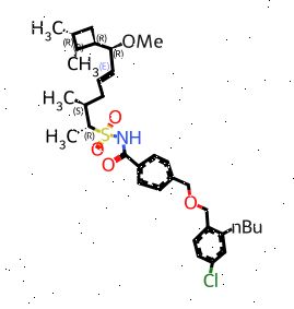 CCCCc1cc(Cl)ccc1COCc1ccc(C(=O)NS(=O)(=O)[C@H](C)[C@@H](C)C/C=C/[C@H](OC)[C@@H]2C[C@@H](C)[C@H]2C)cc1